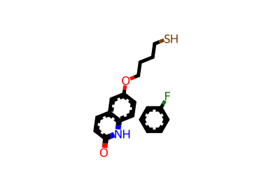 Fc1ccccc1.O=c1ccc2cc(OCCCCS)ccc2[nH]1